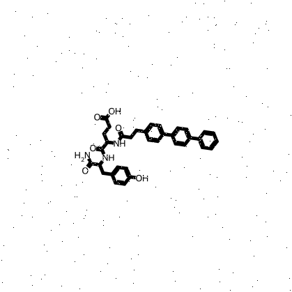 NC(=O)C(Cc1ccc(O)cc1)NC(=O)C(CCC(=O)O)NC(=O)CCc1ccc(-c2ccc(-c3ccccc3)cc2)cc1